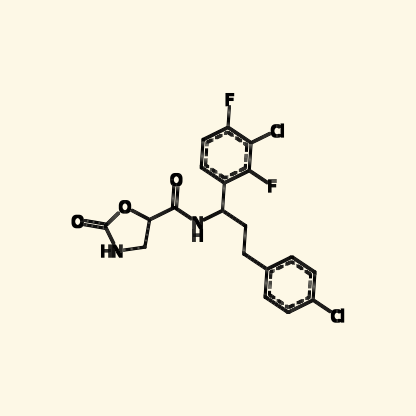 O=C1NCC(C(=O)NC(CCc2ccc(Cl)cc2)c2ccc(F)c(Cl)c2F)O1